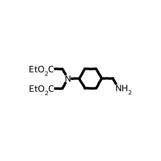 CCOC(=O)CN(CC(=O)OCC)C1CCC(CN)CC1